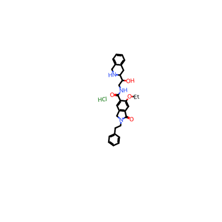 CCOc1cc2c(cc1C(=O)NCC(O)C1Cc3ccccc3CN1)CN(CCc1ccccc1)C2=O.Cl